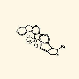 [SH][Zr]([Cl])([Cl])([c]1cccc2c1C=C1CSC(Br)C12)[c]1cccc2c1-c1ccccc1C2